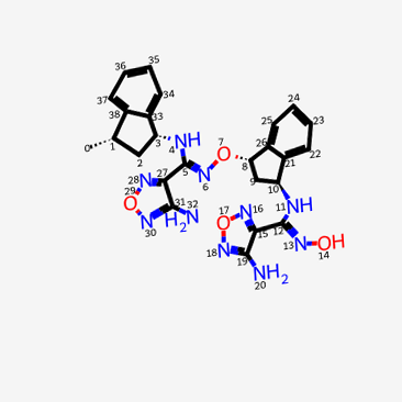 C[C@H]1C[C@@H](N/C(=N\O[C@H]2C[C@H](N/C(=N\O)c3nonc3N)c3ccccc32)c2nonc2N)c2ccccc21